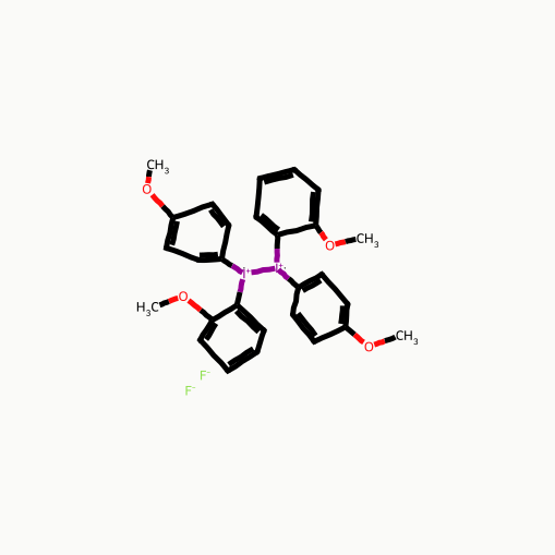 COc1ccc([I+](c2ccccc2OC)[I+](c2ccc(OC)cc2)c2ccccc2OC)cc1.[F-].[F-]